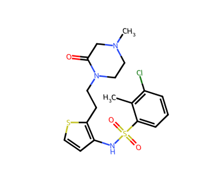 Cc1c(Cl)cccc1S(=O)(=O)Nc1ccsc1CCN1CCN(C)CC1=O